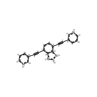 C(#Cc1ccc(C#Cc2cccnc2)c2nsnc12)c1cccnc1